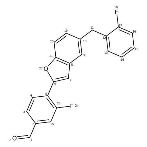 O=Cc1ccc(-c2cc3cc(Cc4ccccc4F)ccc3o2)c(F)c1